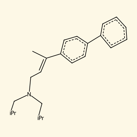 CC(=CCN(CC(C)C)CC(C)C)c1ccc(-c2ccccc2)cc1